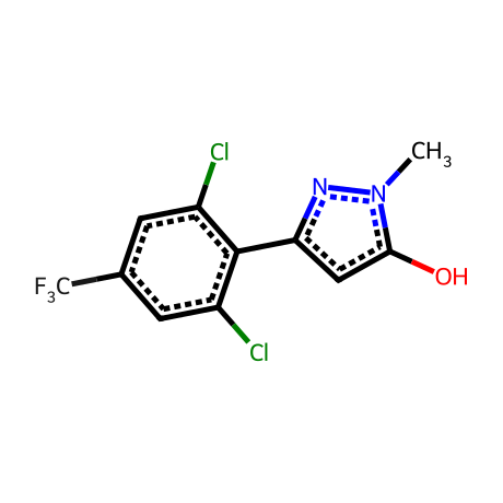 Cn1nc(-c2c(Cl)cc(C(F)(F)F)cc2Cl)cc1O